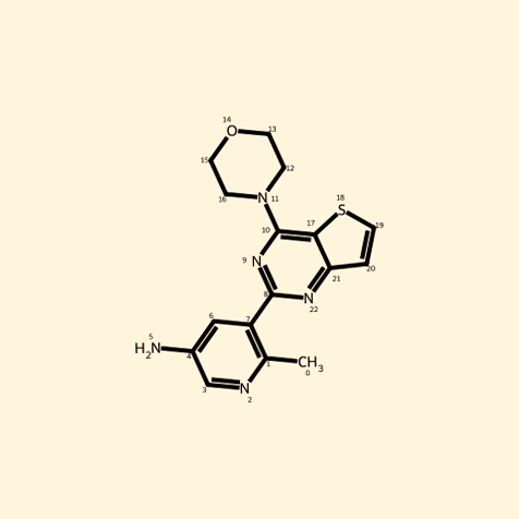 Cc1ncc(N)cc1-c1nc(N2CCOCC2)c2sccc2n1